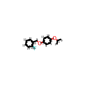 CC(C)Oc1ccc(OCc2ccccc2F)cc1